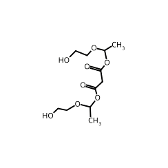 CC(OCCO)OC(=O)CC(=O)OC(C)OCCO